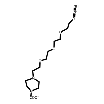 N=[N+]=NCCOCCOCCOCCN1CCN(C(=O)[O-])CC1